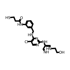 N=C/C(=C\NCCO)Nc1ncc(Cl)c(NCc2cccc(NC(=O)CCS)c2)n1